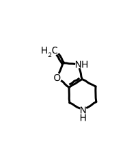 C=C1NC2=C(CNCC2)O1